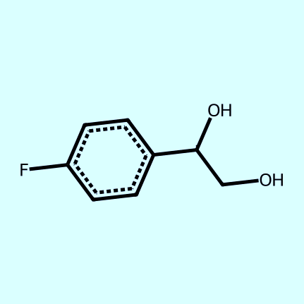 OC[C](O)c1ccc(F)cc1